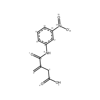 C=C(CC(=O)O)C(=O)Nc1cccc([N+](=O)[O-])c1